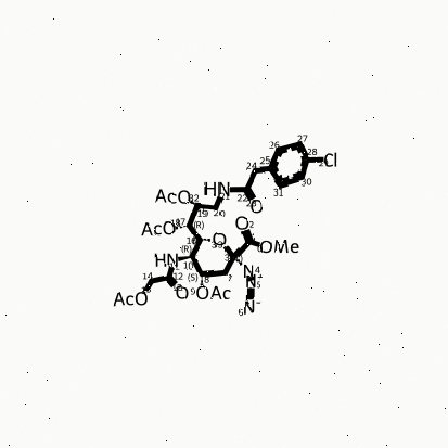 COC(=O)[C@@]1(N=[N+]=[N-])C[C@H](OC(C)=O)[C@@H](NC(=O)COC(C)=O)[C@H]([C@H](OC(C)=O)[C@@H](CNC(=O)Cc2ccc(Cl)cc2)OC(C)=O)O1